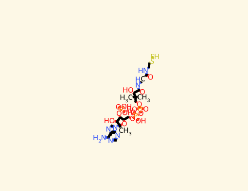 CC(C)(COP(=O)(O)OP(=O)(O)OCC1OC(C)(n2cnc3c(N)ncnc32)C(O)C1OP(=O)(O)O)C(O)C(=O)NCCC(=O)NCCSS